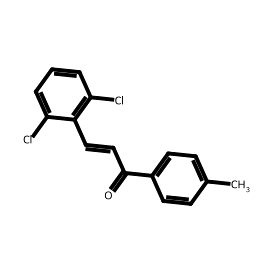 Cc1ccc(C(=O)C=Cc2c(Cl)cccc2Cl)cc1